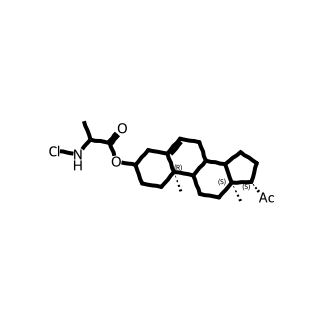 CC(=O)[C@H]1CCC2C3CC=C4CC(OC(=O)C(C)NCl)CC[C@]4(C)C3CC[C@@]21C